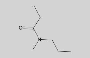 [CH2]CC(=O)N(C)CCC